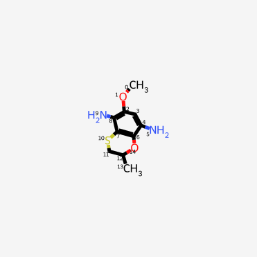 COc1cc(N)c2c(c1N)SCC(C)O2